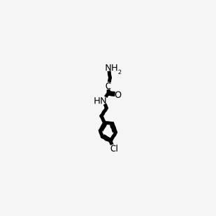 NCCC(=O)NCCc1ccc(Cl)cc1